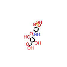 O=C(O)Cc1cc(O)c(C(=O)Nc2ccc(S(=O)(=O)O)cc2)cc1O